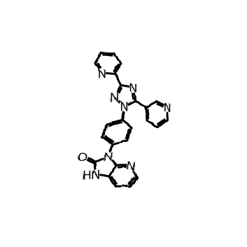 O=c1[nH]c2cccnc2n1-c1ccc(-n2nc(-c3ccccn3)nc2-c2cccnc2)cc1